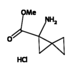 COC(=O)C1(N)CC12CC2.Cl